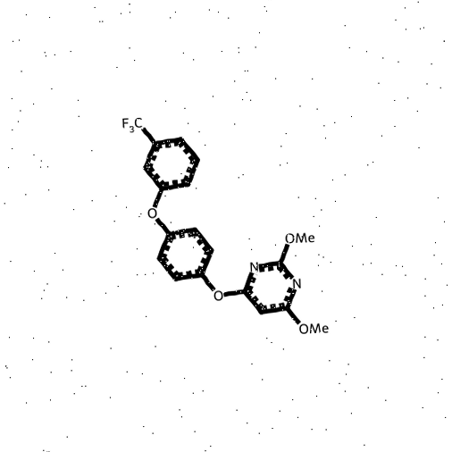 COc1cc(Oc2ccc(Oc3cccc(C(F)(F)F)c3)cc2)nc(OC)n1